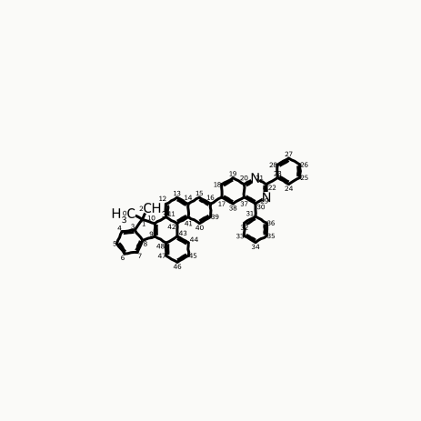 CC1(C)c2ccccc2-c2c1c1ccc3cc(-c4ccc5nc(-c6ccccc6)nc(-c6ccccc6)c5c4)ccc3c1c1ccccc21